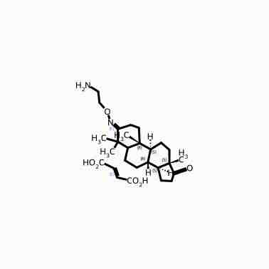 CC1(C)/C(=N/OCCN)CC[C@@]2(C)C1CC[C@@H]1[C@@H]2CC[C@]2(C)C(=O)CC[C@@H]12.O=C(O)/C=C/C(=O)O